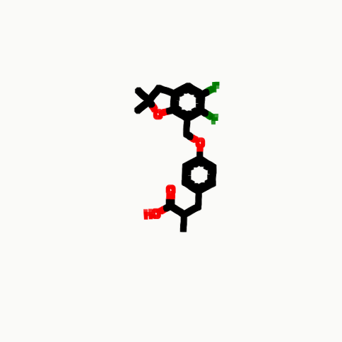 CC(Cc1ccc(OCc2c(F)c(F)cc3c2OC(C)(C)C3)cc1)C(=O)O